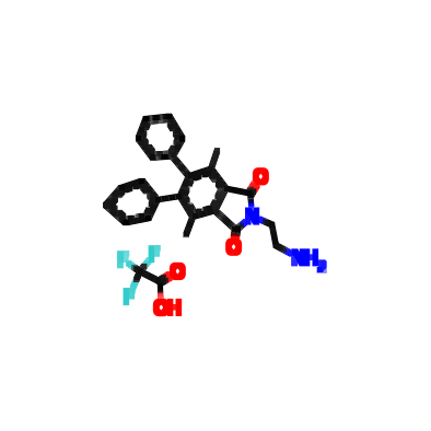 Cc1c2c(c(C)c(-c3ccccc3)c1-c1ccccc1)C(=O)N(CCN)C2=O.O=C(O)C(F)(F)F